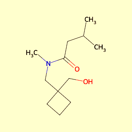 CC(C)CC(=O)N(C)CC1(CO)CCC1